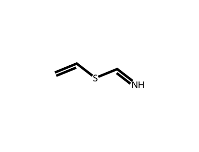 C=CSC=N